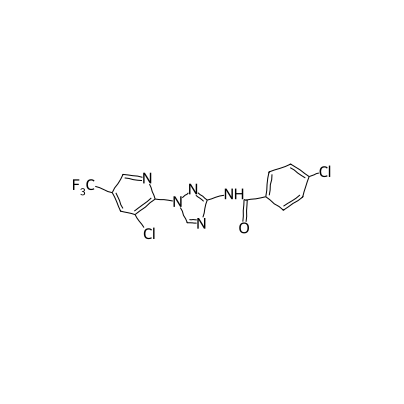 O=C(Nc1ncn(-c2ncc(C(F)(F)F)cc2Cl)n1)c1ccc(Cl)cc1